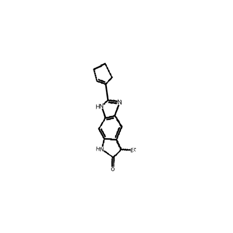 CCC1C(=O)Nc2cc3[nH]c(C4=CCCC4)nc3cc21